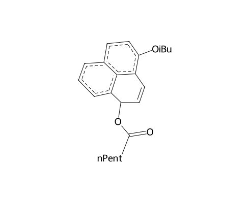 CCCCCC(=O)OC1C=Cc2c(OCC(C)C)ccc3cccc1c23